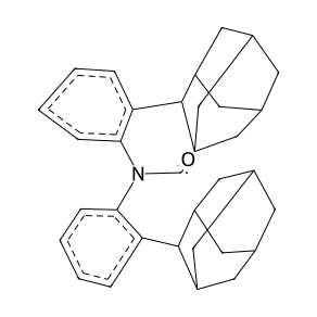 O=[C]N(c1ccccc1C1C2CC3CC(C2)CC1C3)c1ccccc1C1C2CC3CC(C2)CC1C3